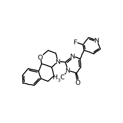 Cn1c(N2CCOC3c4ccccc4CCC32)nc(-c2ccncc2F)cc1=O